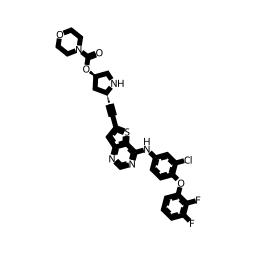 O=C(O[C@H]1CN[C@H](C#Cc2cc3ncnc(Nc4ccc(Oc5cccc(F)c5F)c(Cl)c4)c3s2)C1)N1CCOCC1